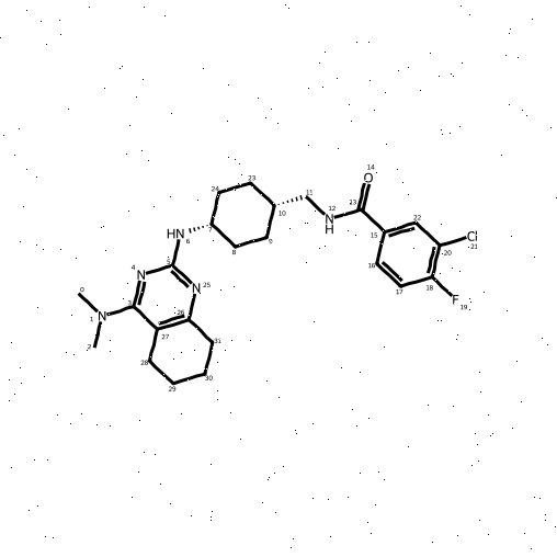 CN(C)c1nc(N[C@H]2CC[C@@H](CNC(=O)c3ccc(F)c(Cl)c3)CC2)nc2c1CCCC2